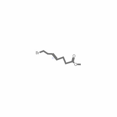 COC(=O)CC/C=C/CCBr